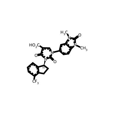 Cn1c(=O)n(C)c2cc(-n3cc(C(=O)O)c(=O)n([C@H]4CCc5c4cccc5C(F)(F)F)c3=O)ccc21